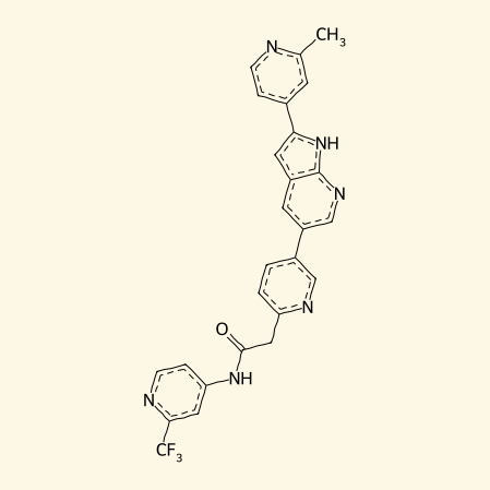 Cc1cc(-c2cc3cc(-c4ccc(CC(=O)Nc5ccnc(C(F)(F)F)c5)nc4)cnc3[nH]2)ccn1